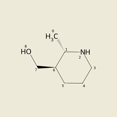 C[C@@H]1NCCC[C@H]1CO